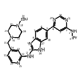 CC(C)Nc1cc(-c2ccc3nc(Nc4cc(CN5CCN(C(C)(C)C)CC5)ccn4)[nH]c3c2)ncn1